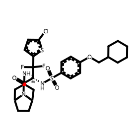 NC1CC2CCC(C1)N2C(=O)[C@@H](NS(=O)(=O)c1ccc(OCC2CCCCC2)cc1)C(F)(F)c1ccc(Cl)s1